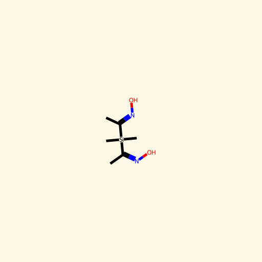 CC(=NO)[Si](C)(C)C(C)=NO